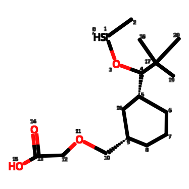 C[SiH](C)OC([C@@H]1CCC[C@H](COCC(=O)O)C1)C(C)(C)C